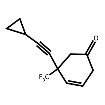 O=C1CC=CC(C#CC2CC2)(C(F)(F)F)C1